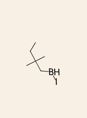 CCC(C)(C)CBI